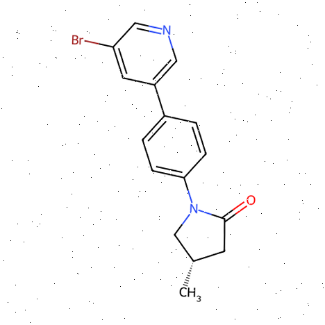 C[C@H]1CC(=O)N(c2ccc(-c3cncc(Br)c3)cc2)C1